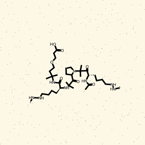 CC(=O)N[C@@H](CCCCNNI)C(=O)C(C)(C)N1CCCC1C(=O)C(C)(C)N[C@@H](CCCCNNI)C(=O)NC(C)(C)CCOCCC(=O)O